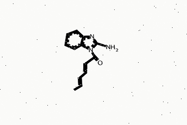 CC=CC=CC(=O)n1c(N)nc2ccccc21